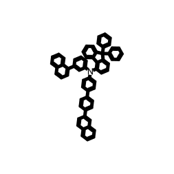 c1ccc(C2(c3ccccc3)c3ccccc3-c3c(N(c4ccc(-c5ccc(-c6ccc7ccccc7c6)cc5)cc4)c4cccc(-c5cccc6ccccc56)c4)cccc32)cc1